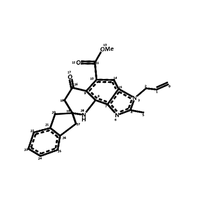 C=CCn1c(C)nc2c3c(c(C(=O)OC)cc21)C(=O)CC1(Cc2ccccc2C1)N3